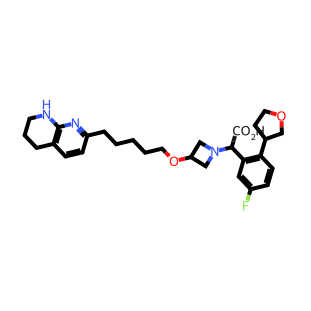 O=C(O)C(c1cc(F)ccc1C1CCOC1)N1CC(OCCCCCc2ccc3c(n2)NCCC3)C1